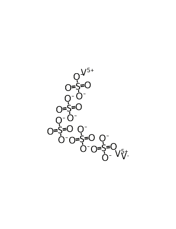 O=S(=O)([O-])[O-].O=S(=O)([O-])[O-].O=S(=O)([O-])[O-].O=S(=O)([O-])[O-].O=S(=O)([O-])[O-].[V+5].[V+5].[V]